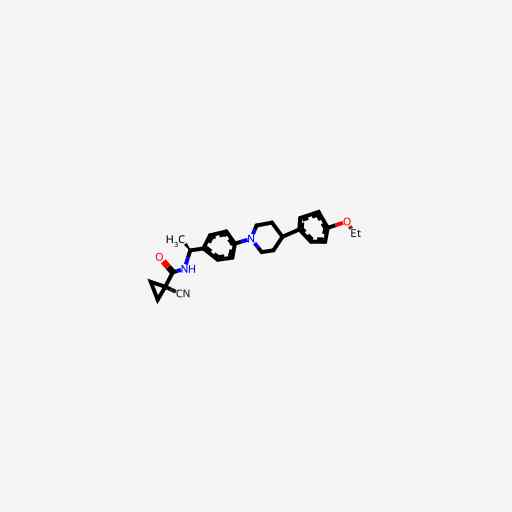 CCOc1ccc(C2CCN(c3ccc([C@H](C)NC(=O)C4(C#N)CC4)cc3)CC2)cc1